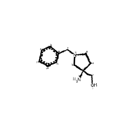 NC1(CO)CCN(Cc2ccccc2)C1